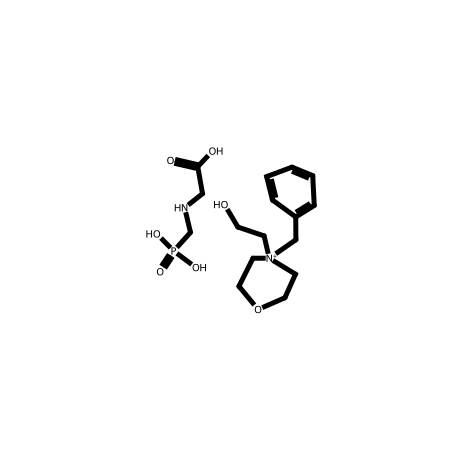 O=C(O)CNCP(=O)(O)O.OCC[N+]1(Cc2ccccc2)CCOCC1